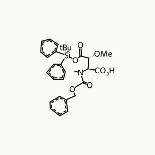 CO[C@@H](C(=O)O[Si](c1ccccc1)(c1ccccc1)C(C)(C)C)[C@@H](C(=O)O)N(C)C(=O)OCc1ccccc1